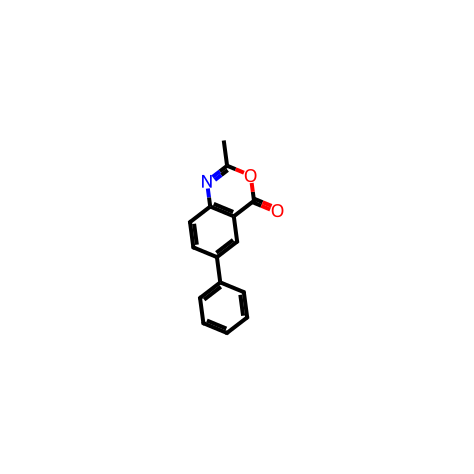 Cc1nc2ccc(-c3ccccc3)cc2c(=O)o1